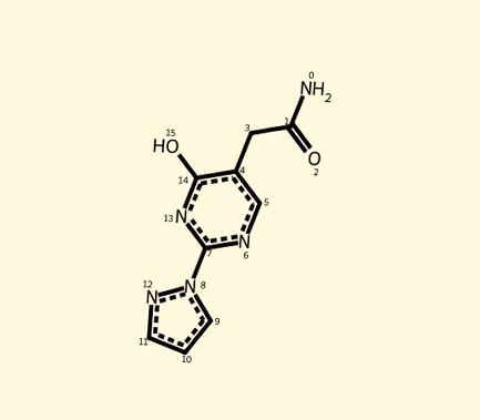 NC(=O)Cc1cnc(-n2cccn2)nc1O